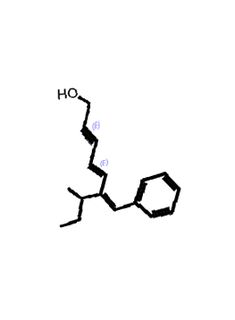 CCC(C)C(=Cc1ccccc1)/C=C/C=C/CO